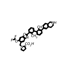 Cc1c(-c2ccc3c(c2)CCNC3)cccc1-c1cccc(-c2nc3cc(CN4CCC[C@H]4C(=O)O)c(OC(F)F)cc3o2)c1C